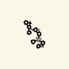 CC1(C)c2ccccc2-c2cc3c4ccccc4n(-c4ccc5sc6ccc(-c7nc(-c8ccccc8)nc(-c8cccc9oc%10ccccc%10c89)n7)cc6c5c4)c3cc21